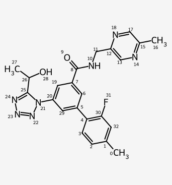 Cc1ccc(-c2cc(C(=O)NCc3cnc(C)cn3)cc(-n3nnnc3C(C)O)c2)c(F)c1